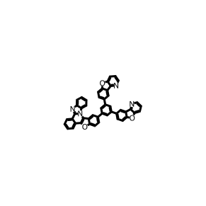 c1ccc2c(c1)nc1c3ccccc3c3oc4ccc(-c5cc(-c6ccc7oc8cccnc8c7c6)cc(-c6ccc7oc8cccnc8c7c6)c5)cc4c3n21